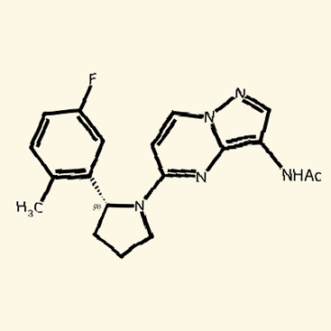 CC(=O)Nc1cnn2ccc(N3CCC[C@@H]3c3cc(F)ccc3C)nc12